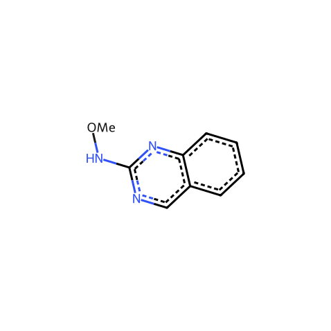 CONc1ncc2ccccc2n1